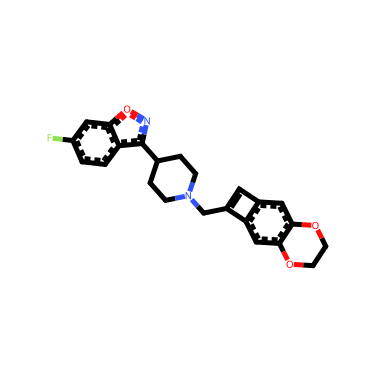 Fc1ccc2c(C3CCN(CC4=Cc5cc6c(cc54)OCCO6)CC3)noc2c1